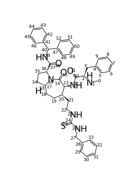 CN[C@H](Cc1ccccc1)C(=O)N[C@@H]1C(=O)N2[C@@H](CC[C@@H]1CCNC(=S)NCc1ccccc1)CC[C@H]2C(=O)NC(c1ccccc1)c1ccccc1